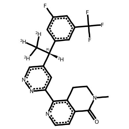 [2H]C([2H])([2H])[C@]([2H])(c1cc(F)cc(C(F)(F)F)c1)c1cnnc(-c2nccc3c2CCN(C)C3=O)c1